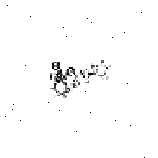 O=C(NCC1CCCCC1)On1c(=O)oc2cccnc21